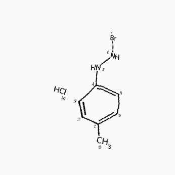 Cc1ccc(NNBr)cc1.Cl